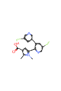 Cc1c(C(=O)O)cc(-c2ncc(F)cc2-c2cncc(F)c2)n1C